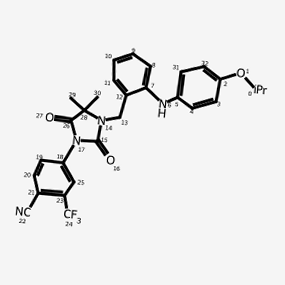 CC(C)Oc1ccc(Nc2ccccc2CN2C(=O)N(c3ccc(C#N)c(C(F)(F)F)c3)C(=O)C2(C)C)cc1